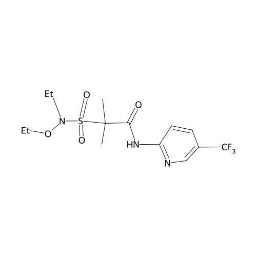 CCON(CC)S(=O)(=O)C(C)(C)C(=O)Nc1ccc(C(F)(F)F)cn1